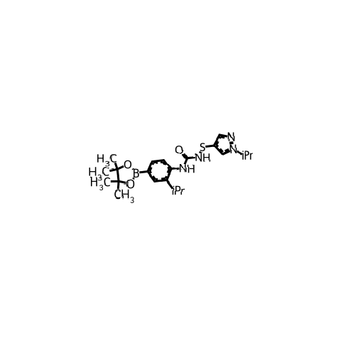 CC(C)c1cc(B2OC(C)(C)C(C)(C)O2)ccc1NC(=O)NSc1cnn(C(C)C)c1